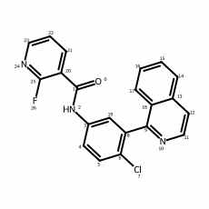 O=C(Nc1ccc(Cl)c(-c2nccc3ccccc23)c1)c1cccnc1F